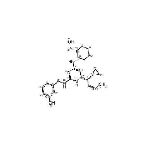 C/N=C\C(=C1\N=C(N[C@H]2CCCC[C@H]2CO)N=C(NCc2ccc[n+](O)c2)N1)C1CC1